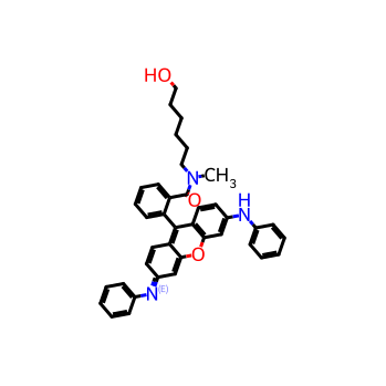 CN(CCCCCCO)C(=O)c1ccccc1-c1c2cc/c(=N\c3ccccc3)cc-2oc2cc(Nc3ccccc3)ccc12